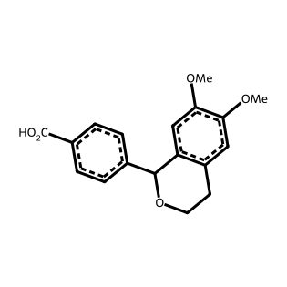 COc1cc2c(cc1OC)C(c1ccc(C(=O)O)cc1)OCC2